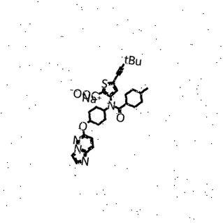 CC1CCC(C(=O)N(c2cc(C#CC(C)(C)C)sc2C(=O)[O-])C2CCC(Oc3ccc4nccn4n3)CC2)CC1.[Na+]